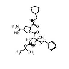 CC(C)OC(=O)N[C@@H](C(=O)N1C[C@H](C(=N)N)C[C@H]1C(=O)NCC1CCCCC1)C(C)(C)SCc1ccccc1